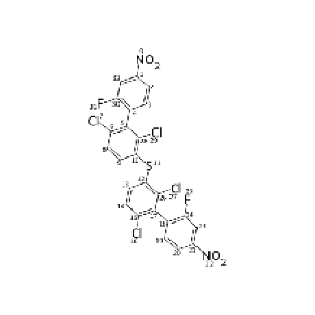 O=[N+]([O-])c1ccc(-c2c(Cl)ccc(Sc3ccc(Cl)c(-c4ccc([N+](=O)[O-])cc4F)c3Cl)c2Cl)c(F)c1